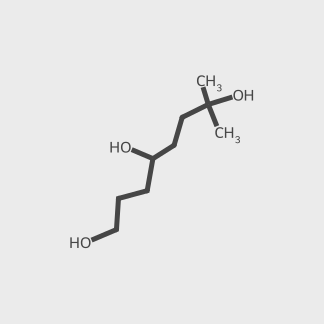 CC(C)(O)CCC(O)CCCO